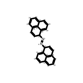 C1=CC(N=NC2C=Cc3cccc4cccc2c34)c2cccc3cccc1c23